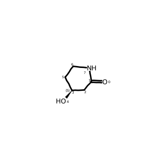 O=C1C[C@@H](O)CCN1